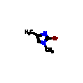 Cc1cn(C)c(Br)n1